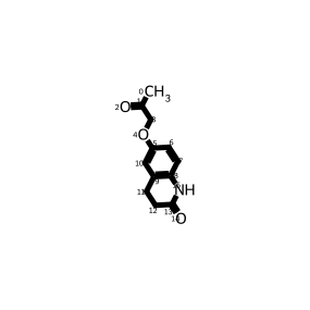 CC(=O)COc1ccc2c(c1)CCC(=O)N2